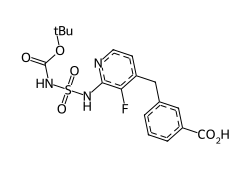 CC(C)(C)OC(=O)NS(=O)(=O)Nc1nccc(Cc2cccc(C(=O)O)c2)c1F